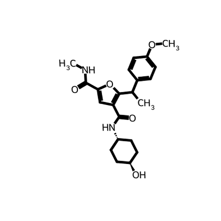 CNC(=O)c1cc(C(=O)N[C@H]2CC[C@H](O)CC2)c(C(C)c2ccc(OC)cc2)o1